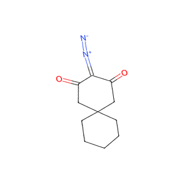 [N-]=[N+]=C1C(=O)CC2(CCCCC2)CC1=O